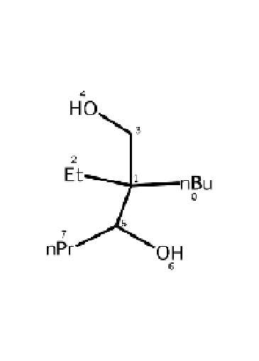 CCCCC(CC)(CO)C(O)CCC